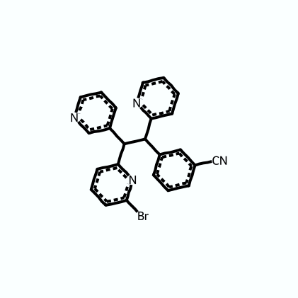 N#Cc1cccc(C(c2ccccn2)C(c2cccnc2)c2cccc(Br)n2)c1